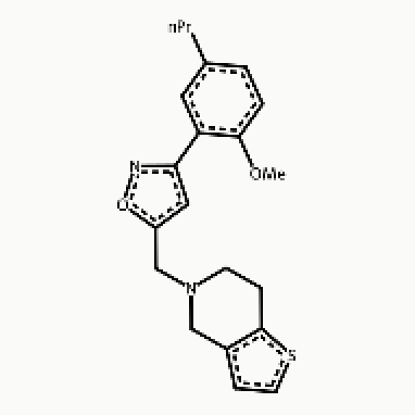 CCCc1ccc(OC)c(-c2cc(CN3CCc4sccc4C3)on2)c1